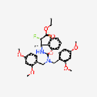 CCOC(=O)[C@H](F)[C@](C)(NC(=O)N(Cc1ccc(OC)cc1OC)Cc1ccc(OC)cc1OC)c1ccccc1F